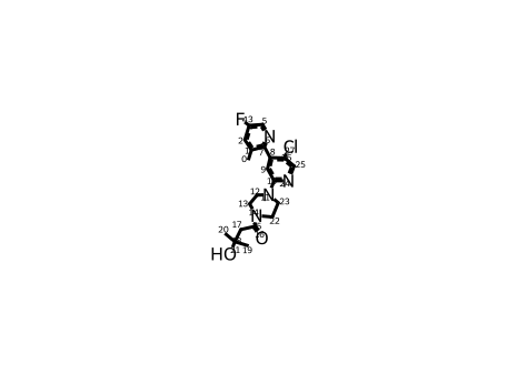 Cc1cc(F)cnc1-c1cc(N2CCN(C(=O)CC(C)(C)O)CC2)ncc1Cl